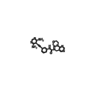 Nc1ncnc(N)c1C#Cc1cccc(NC(=O)NCc2cncnc2N2CCOCC2)c1